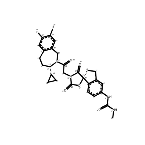 CNC(=O)Nc1ccc2c(c1)CC[C@@]21OC(=O)N(CC(=O)N2Cc3cc(F)c(F)cc3CC[C@H]2C2CC2)C1=O